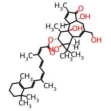 CC(C=CC1=C(C)CCCC1(C)C)=CC=CC(C)=CC(=O)O[C@@H]1[C@@H](C)[C@@]2(O)[C@@H](C=C(CO)C[C@]3(O)C(=O)C(C)=C[C@@H]23)[C@H]2C(C)(C)[C@]12O